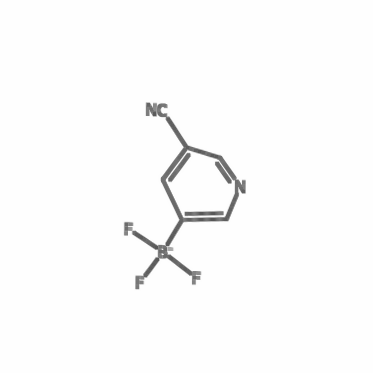 N#Cc1cncc([B-](F)(F)F)c1